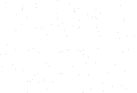 O=C(Nc1nonc1/C=N/ONc1ccc(F)c(Br)c1)C1CCN(c2nccc(C(F)(F)F)n2)CC1